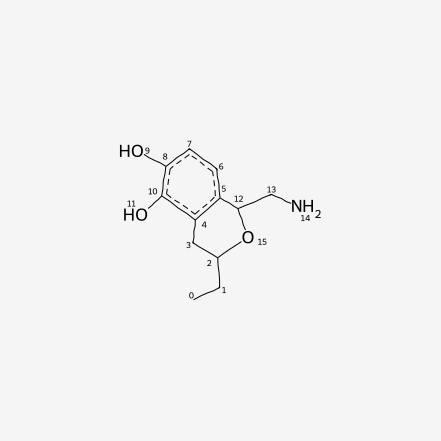 CCC1Cc2c(ccc(O)c2O)C(CN)O1